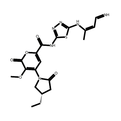 CC[C@H]1CC(=O)N(c2cc(C(=O)Nc3nnc(N/C(C)=C\C=N)s3)oc(=O)c2OC)C1